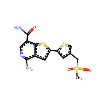 CS(=O)(=O)Cc1csc(-c2cc3c(N)ncc(C(N)=O)c3s2)c1